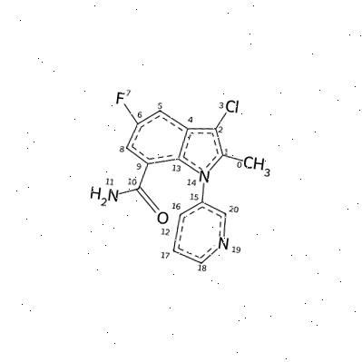 Cc1c(Cl)c2cc(F)cc(C(N)=O)c2n1-c1cccnc1